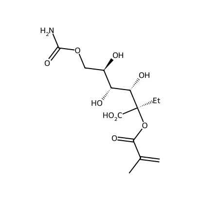 C=C(C)C(=O)O[C@@](CC)(C(=O)O)[C@@H](O)[C@H](O)[C@H](O)COC(N)=O